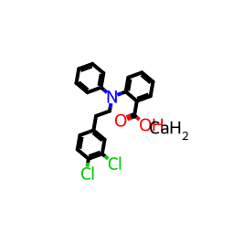 O=C(O)c1ccccc1N(CCc1ccc(Cl)c(Cl)c1)c1ccccc1.[CaH2]